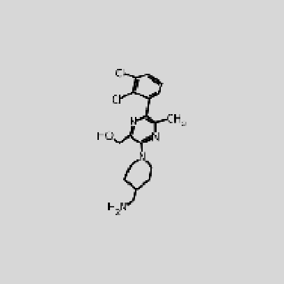 Cc1nc(N2CCC(CN)CC2)c(CO)nc1-c1cccc(Cl)c1Cl